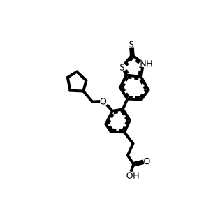 O=C(O)CCc1ccc(OCC2CCCC2)c(-c2ccc3[nH]c(=S)sc3c2)c1